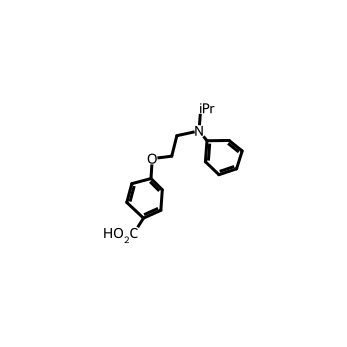 CC(C)N(CCOc1ccc(C(=O)O)cc1)c1ccccc1